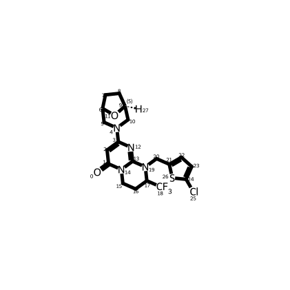 O=c1cc(N2CC3CC[C@@H](C2)O3)nc2n1CCC(C(F)(F)F)N2Cc1ccc(Cl)s1